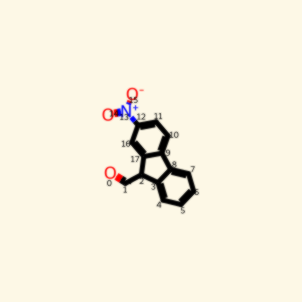 O=[C]C1c2ccccc2-c2ccc([N+](=O)[O-])cc21